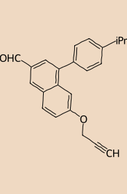 C#CCOc1ccc2cc(C=O)cc(-c3ccc(C(C)C)cc3)c2c1